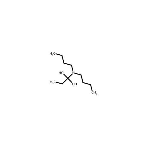 CCCCN(CCCC)C(O)(O)CC